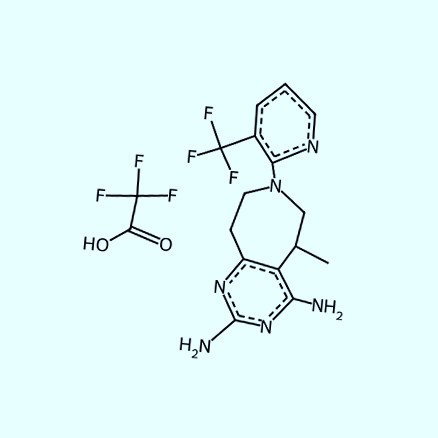 CC1CN(c2ncccc2C(F)(F)F)CCc2nc(N)nc(N)c21.O=C(O)C(F)(F)F